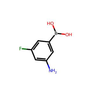 Nc1cc(F)cc(B(O)O)c1